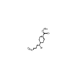 CC(C)(C)OC(=O)N1CCC(C(Br)CCCC=O)CC1